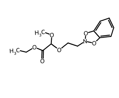 CCOC(=O)C(OC)OCCN1Oc2ccccc2O1